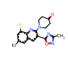 CCc1cc(F)c2nc(N3CCC(=O)CC3)c(-c3nc(C)no3)cc2c1